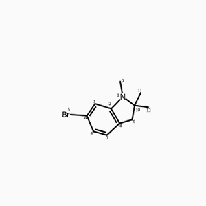 CN1c2cc(Br)ccc2CC1(C)C